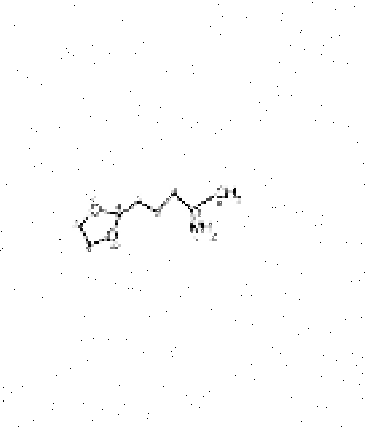 CC(N)CCCC1OCCO1